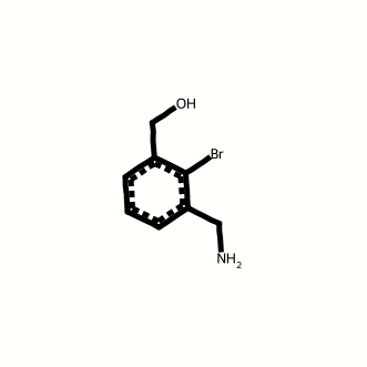 NCc1cccc(CO)c1Br